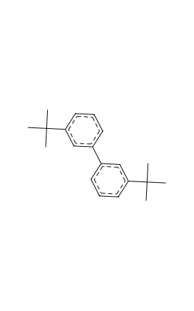 CC(C)(C)c1cccc(-c2cccc(C(C)(C)C)c2)c1